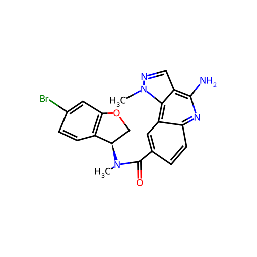 CN(C(=O)c1ccc2nc(N)c3cnn(C)c3c2c1)[C@@H]1COc2cc(Br)ccc21